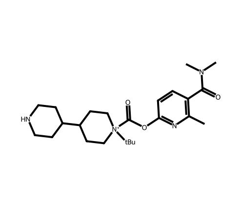 Cc1nc(OC(=O)[N+]2(C(C)(C)C)CCC(C3CCNCC3)CC2)ccc1C(=O)N(C)C